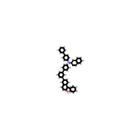 C1=CC(N(c2ccc(-c3ccccc3)cc2)c2ccc(-c3cccc(-c4ccc5c(ccc6oc7ccccc7c65)c4)c3)cc2)Cc2ccccc21